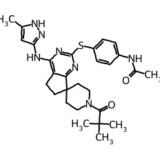 CC(=O)Nc1ccc(Sc2nc(Nc3cc(C)[nH]n3)c3c(n2)C2(CC3)CCN(C(=O)C(C)(C)C)CC2)cc1